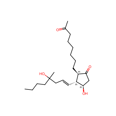 CCCCC(C)(O)CC=C[C@H]1[C@H](O)CC(=O)[C@@H]1CCCCCCC(C)=O